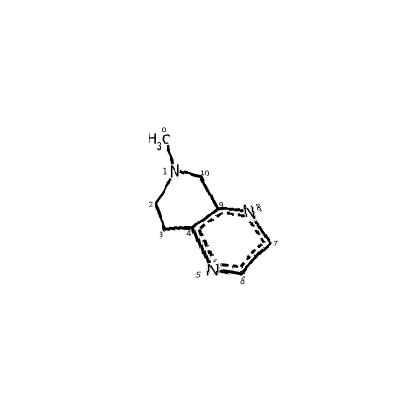 CN1CCc2nccnc2C1